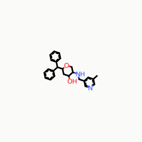 Cc1cncc(CNC2COC(C(c3ccccc3)c3ccccc3)CC2O)c1